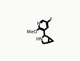 COc1ncc(F)cc1C1NCC2CC21